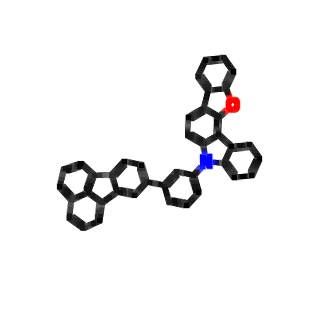 c1cc(-c2ccc3c(c2)-c2cccc4cccc-3c24)cc(-n2c3ccccc3c3c4oc5ccccc5c4ccc32)c1